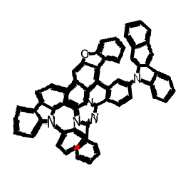 c1ccc(-c2nc(-c3ccc(-n4c5ccccc5c5cc6ccccc6cc54)cc3-c3c4ccccc4cc4oc5ccccc5c34)nc(-c3cccc4c5ccccc5n(-c5ccccc5)c34)n2)cc1